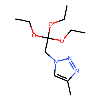 CCOC(Cn1cc(C)nn1)(OCC)OCC